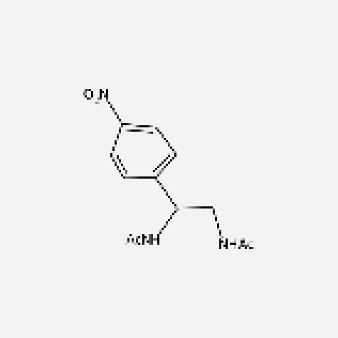 CC(=O)NCC(NC(C)=O)c1ccc([N+](=O)[O-])cc1